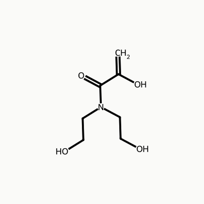 C=C(O)C(=O)N(CCO)CCO